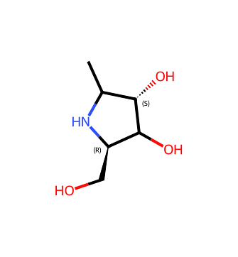 CC1N[C@H](CO)C(O)[C@H]1O